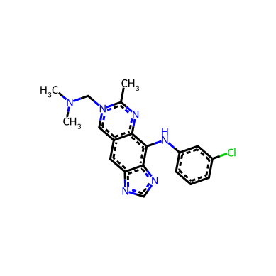 Cc1nc2c(Nc3cccc(Cl)c3)c3ncnc3cc2cn1CN(C)C